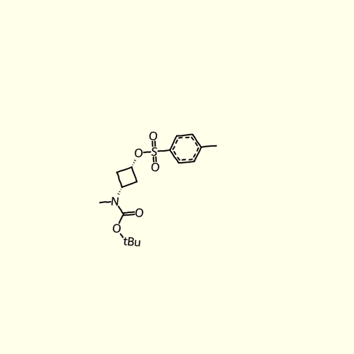 Cc1ccc(S(=O)(=O)O[C@H]2C[C@@H](N(C)C(=O)OC(C)(C)C)C2)cc1